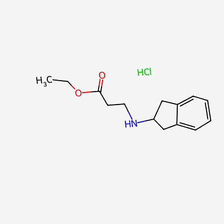 CCOC(=O)CCNC1Cc2ccccc2C1.Cl